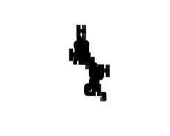 CCCCOc1ccc(S(=O)(=O)Nc2ccc(N3CC(NC[C@H](O)COc4cccc5[nH]c6ccccc6c45)C3)cc2)cc1